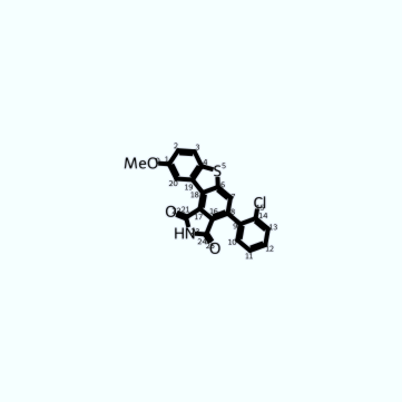 COc1ccc2sc3cc(-c4ccccc4Cl)c4c(c3c2c1)C(=O)NC4=O